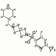 Cc1cc(C(F)(F)F)ncc1S(=O)(=O)N1CC2(CN(CC3CCOCC3)C2)C1